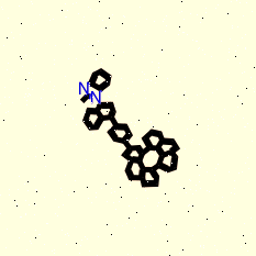 Cc1nc2ccccc2n1-c1ccc(-c2ccc(-c3cc4ccc5cccc6c7cccc8ccc9cccc(c(c3)c4c56)c9c87)cc2)c2ccccc12